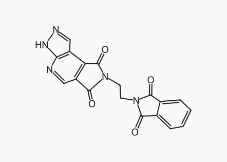 O=C1c2ccccc2C(=O)N1CCN1C(=O)c2cnc3[nH]ncc3c2C1=O